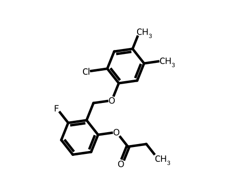 CCC(=O)Oc1cccc(F)c1COc1cc(C)c(C)cc1Cl